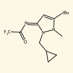 Cn1c(C(C)(C)C)c/c(=N/C(=O)C(F)(F)F)n1CC1CC1